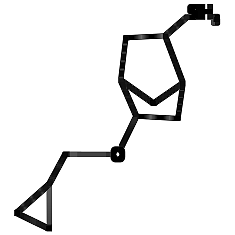 [SiH3]C1CC2CC1CC2OCC1CC1